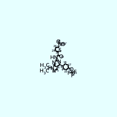 CC(C)n1ncc2c(-c3ccc(OC(F)(F)F)cc3)nc(NC(=O)c3ccc([N+](=O)[O-])s3)nc21